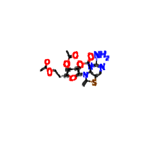 C=C1Sc2cnc(N)nc2N1[C@@H]1O[C@H](CCOC(C)=O)[C@@H](OC(C)=O)[C@H]1OC(C)=O